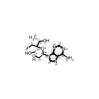 C[C@H](O)[C@](CO)(CF)O[C@H](CO)n1cnc2c(N)ncnc21